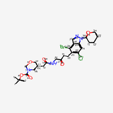 CC(C)(C)OC(=O)N1COC[C@@H](CC(=O)NCC(=O)CCc2c(Cl)cc3c(cnn3C3CCCCO3)c2Br)C1